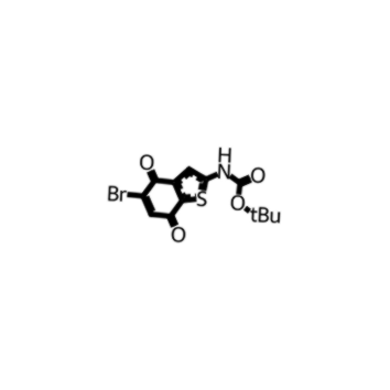 CC(C)(C)OC(=O)Nc1cc2c(s1)C(=O)C=C(Br)C2=O